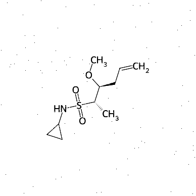 C=CC[C@H](OC)[C@H](C)S(=O)(=O)NC1CC1